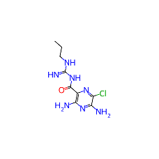 CCCNC(=N)NC(=O)c1nc(Cl)c(N)nc1N